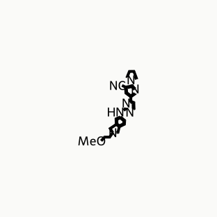 COCCN1Cc2ccc(Nc3nccc(-c4cnc(N5CCCC5)c(C#N)c4)n3)cc2C1